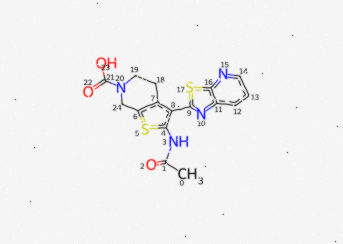 CC(=O)Nc1sc2c(c1-c1nc3cccnc3s1)CCN(C(=O)O)C2